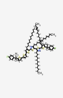 CCCCCCCCCCCCc1cc(-c2ccc(-c3ccc(C(C)(C)c4ccc(F)cc4)s3)s2)sc1-c1nc(CCCCCCCCCCCC)c(-c2sc(-c3sc(C(C)(CC)c4ccc(F)cc4)cc3CCCCCCCCCCCC)nc2CCCCCCCCCCCC)s1